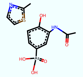 CC(=O)Nc1cc([As](=O)(O)O)ccc1O.Cc1nccs1